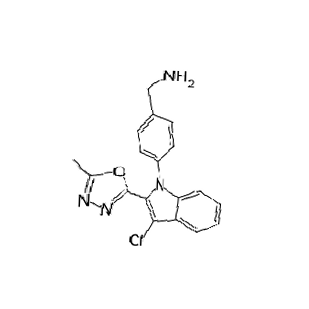 Cc1nnc(-c2c(Cl)c3ccccc3n2-c2ccc(CN)cc2)o1